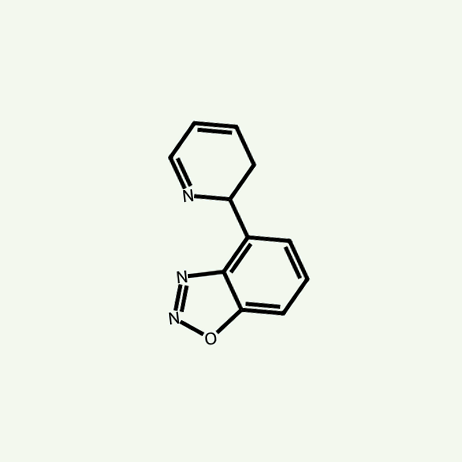 C1=CCC(c2cccc3onnc23)N=C1